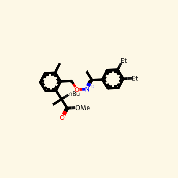 CCCCC(C)(C(=O)OC)c1cccc(C)c1CO/N=C(\C)c1ccc(CC)c(CC)c1